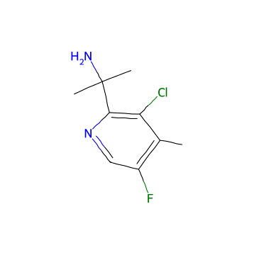 Cc1c(F)cnc(C(C)(C)N)c1Cl